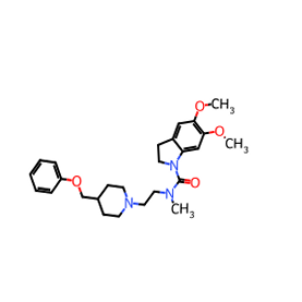 COc1cc2c(cc1OC)N(C(=O)N(C)CCN1CCC(COc3ccccc3)CC1)CC2